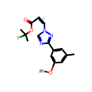 Cc1cc(OC(C)C)cc(-c2ncn(/C=C\C(=O)OC(C)(C)F)n2)c1